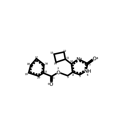 O=C(OCc1c[nH]c(=O)nc1C1CCC1)c1ccccc1